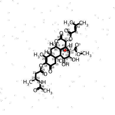 COC(=O)[C@@]12OC[C@]34C([C@@H](O)[C@@H]1O)[C@@]1(C)CC(=O)C(OC(=O)C[C@H](C)NC(C)=O)=C(C)[C@@H]1C[C@H]3OC(=O)[C@H](OC(=O)C=C(C)C)[C@@H]24